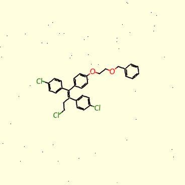 ClCC/C(=C(\c1ccc(Cl)cc1)c1ccc(OCCOCc2ccccc2)cc1)c1ccc(Cl)cc1